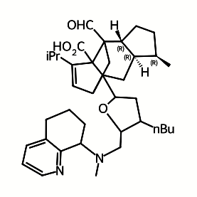 CCCCC1CC(C23C[C@@H]4[C@H](C)CC[C@H]4C4(C=O)CC2C=C(C(C)C)C34C(=O)O)OC1CN(C)C1CCCc2cccnc21